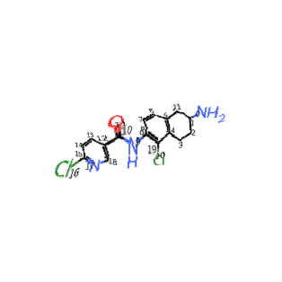 N[C@H]1CCc2c(ccc(NC(=O)c3ccc(Cl)nc3)c2Cl)C1